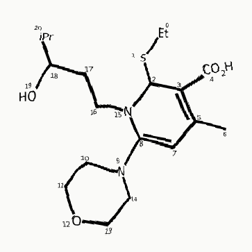 CCSC1C(C(=O)O)=C(C)C=C(N2CCOCC2)N1CCC(O)C(C)C